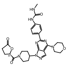 CNC(=O)Nc1ccc(-c2nc(N3CCOCC3)c3cnn(C4CCN(C(=O)[C@H]5CCC(=O)O5)CC4)c3n2)cc1